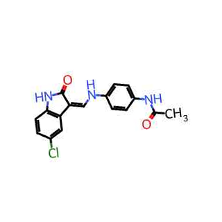 CC(=O)Nc1ccc(NC=C2C(=O)Nc3ccc(Cl)cc32)cc1